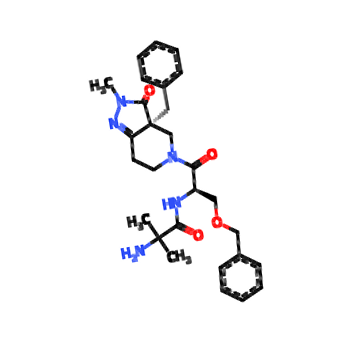 CN1N=C2CCN(C(=O)[C@@H](COCc3ccccc3)NC(=O)C(C)(C)N)C[C@]2(Cc2ccccc2)C1=O